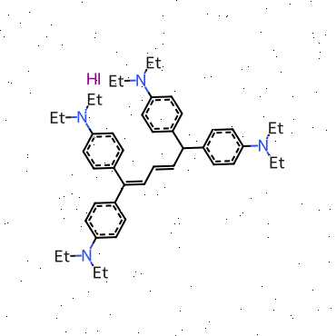 CCN(CC)c1ccc(C(=CC=CC(c2ccc(N(CC)CC)cc2)c2ccc(N(CC)CC)cc2)c2ccc(N(CC)CC)cc2)cc1.I